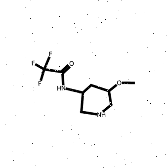 COC1CNCC(NC(=O)C(F)(F)F)C1